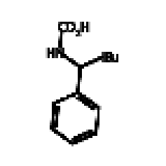 CCC(C)C(NC(=O)O)c1ccccc1